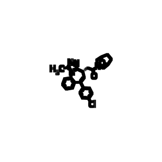 Cc1nnc2n1-c1ccccc1C(c1ccc(Cl)cc1)=C[C@H]2CC(=O)N1CC2CCC(C1)O2